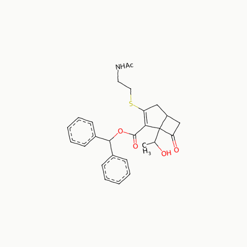 CC(=O)NCCSC1=C(C(=O)OC(c2ccccc2)c2ccccc2)C2(C(C)O)C(=O)CC2C1